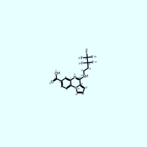 O=C(O)c1ccc2c(c1)nc(NCCC(F)(F)C(F)(F)F)c1cccn12